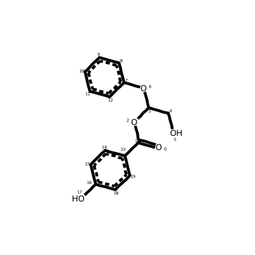 O=C(OC(CO)Oc1ccccc1)c1ccc(O)cc1